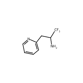 NC(Cc1ccccn1)C(F)(F)F